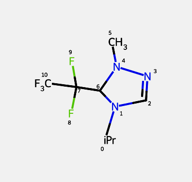 CC(C)N1C=NN(C)C1C(F)(F)C(F)(F)F